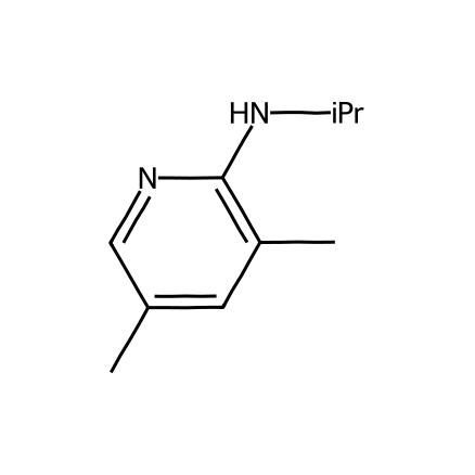 Cc1cnc(NC(C)C)c(C)c1